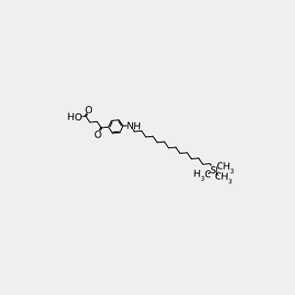 C[Si](C)(C)CCCCCCCCCCCCCCNc1ccc(C(=O)CCC(=O)O)cc1